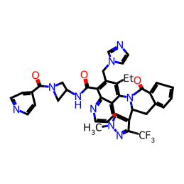 CCc1c(Cn2ccnc2)c(C(=O)NC2CN(C(=O)c3ccncc3)C2)c2ncccc2c1N1C(=O)c2ccccc2CC1c1cn(C)nc1C(F)(F)F